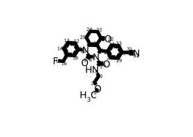 COCCNC(=O)N1C(=O)N(c2cccc(CF)c2)C2=C(C(=O)CCC2)C1c1ccc(C#N)cc1